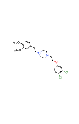 COc1ccc(CCN2CCN(CCOc3ccc(Cl)c(Cl)c3)CC2)cc1OC